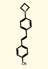 N#Cc1ccc(/C=C/c2ccc(N3CCC3)cc2)cc1